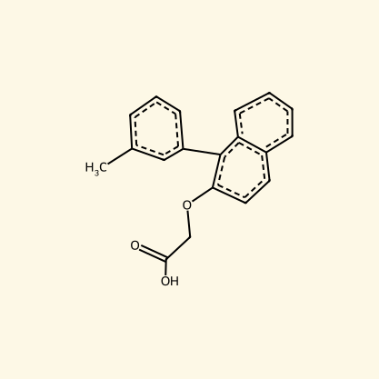 Cc1cccc(-c2c(OCC(=O)O)ccc3ccccc23)c1